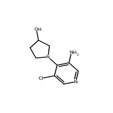 Nc1cncc(Cl)c1N1CCC(O)C1